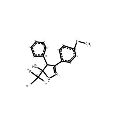 COc1ccc(C2=NOC(O)(C(F)(F)F)C2c2ccccc2)cc1